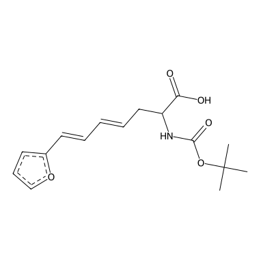 CC(C)(C)OC(=O)NC(CC=CC=Cc1ccco1)C(=O)O